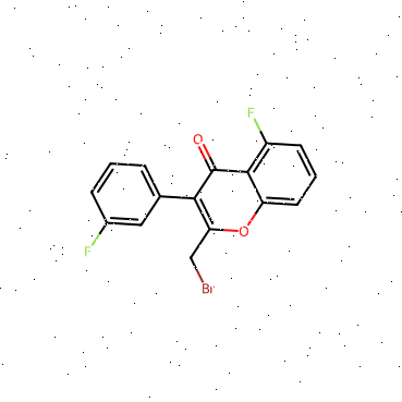 O=c1c(-c2cccc(F)c2)c(CBr)oc2cccc(F)c12